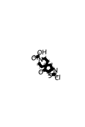 O=C(O)N1CCC2(CC1)Cc1nc(Cl)sc1C2=O